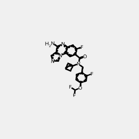 Nc1nc2cc(F)c(C(=O)N(Cc3ccc(OC(F)F)cc3F)C34CC(C3)C4)cc2n2cncc12